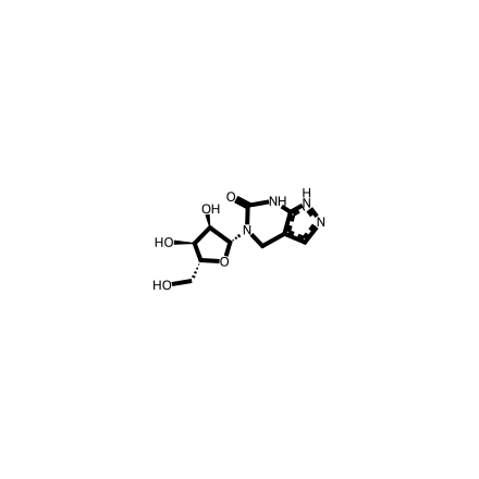 O=C1Nc2[nH]ncc2CN1[C@@H]1O[C@H](CO)[C@@H](O)[C@H]1O